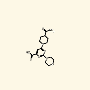 NC(=O)C1CCN(c2cc(C(=O)O)nc(N3CCOCC3)n2)CC1